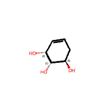 O[C@@H]1[C@H](O)C=[C]C[C@H]1O